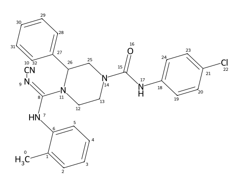 Cc1ccccc1N/C(=N/C#N)N1CCN(C(=O)Nc2ccc(Cl)cc2)CC1c1ccccc1